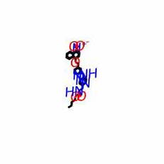 CCCCOC(=O)NCc1cnc(Nc2cc(COc3ccc([N+](=O)[O-])c4ccccc34)ccn2)cn1